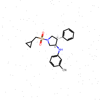 N#Cc1cccc(N[C@H]2CN(S(=O)(=O)CC3CC3)C[C@@H]2c2ccccc2)c1